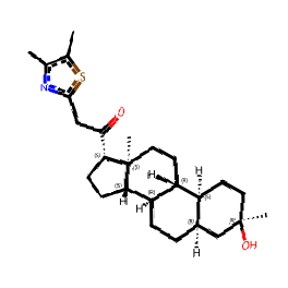 Cc1nc(CC(=O)[C@H]2CC[C@H]3[C@@H]4CC[C@@H]5C[C@](C)(O)CC[C@@H]5[C@H]4CC[C@]23C)sc1C